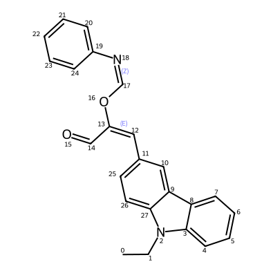 CCn1c2ccccc2c2cc(/C=C(\C=O)O/C=N\c3ccccc3)ccc21